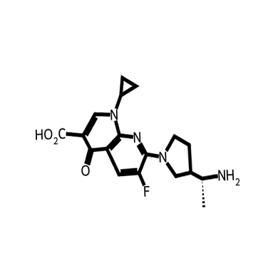 C[C@@H](N)C1CCN(c2nc3c(cc2F)c(=O)c(C(=O)O)cn3C2CC2)C1